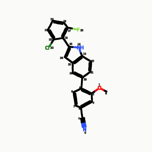 COc1cc(C#N)ccc1-c1ccc2[nH]c(-c3c(F)cccc3Cl)cc2c1